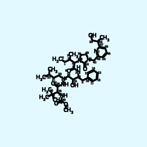 CCC(C)C(C(=O)NC(Cc1ccccc1)C(O)CN(CCC(C)C)NC(=O)C(NC(=O)OC)C(C)(C)C)N1CCN(Cc2cccc(C(C)CO)n2)C1=O